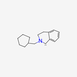 [C]1c2ccccc2CCN1CC1CCCCC1